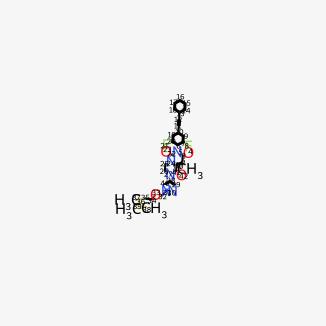 C[C@@]12CC(=O)N(c3c(F)cc(C#Cc4ccccc4)cc3F)C(=O)N1CCN(c1cnn(COCCS(C)(C)C)c1)C2=O